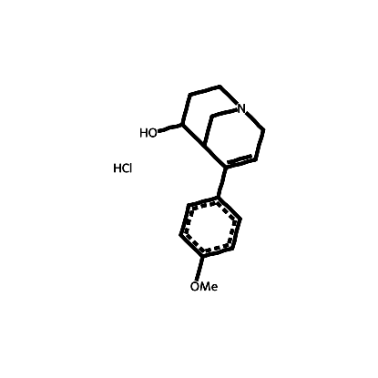 COc1ccc(C2=CCN3CCC(O)C2C3)cc1.Cl